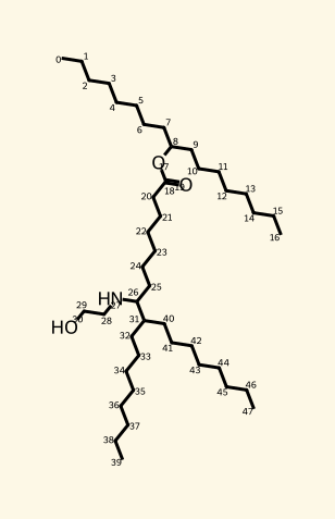 CCCCCCCCC(CCCCCCCC)OC(=O)CCCCCCC(NCCO)C(CCCCCCCC)CCCCCCCC